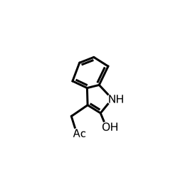 CC(=O)Cc1c(O)[nH]c2ccccc12